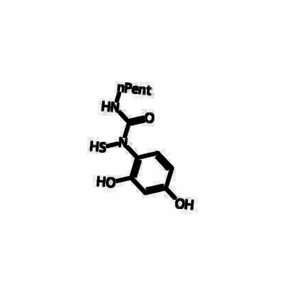 CCCCCNC(=O)N(S)c1ccc(O)cc1O